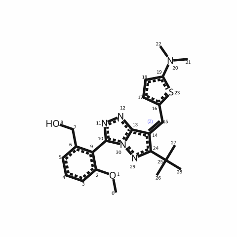 COc1cccc(CO)c1-c1nnc2/c(=C\c3ccc(N(C)C)s3)c(C(C)(C)C)nn12